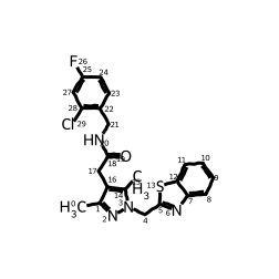 Cc1nn(Cc2nc3ccccc3s2)c(C)c1CC(=O)NCc1ccc(F)cc1Cl